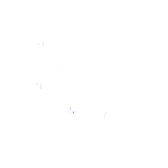 CCc1cc(C(C)(C)CC)nc(C)n1